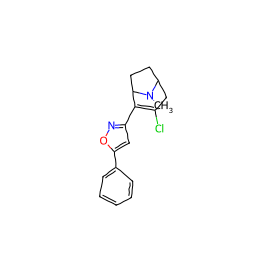 CN1C2CCC1C(c1cc(-c3ccccc3)on1)=C(Cl)C2